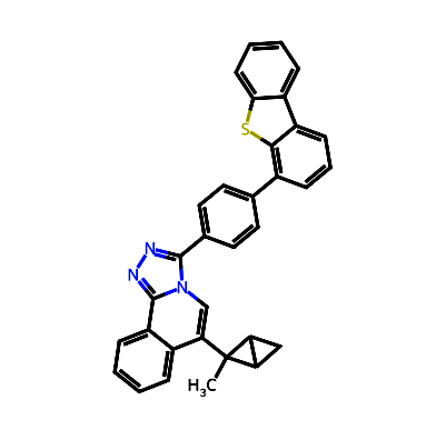 CC1(c2cn3c(-c4ccc(-c5cccc6c5sc5ccccc56)cc4)nnc3c3ccccc23)C2CC21